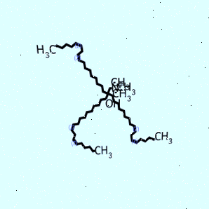 CCCCC/C=C\C/C=C\CCCCCCCCC(O)C(CCCCCCCC/C=C\C/C=C\CCCCC)(CCCCCCCC/C=C\C/C=C\CCCCC)C[N+](C)(C)C